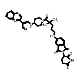 CC(C)(CCCNc1ccc2c(c1)C(=O)N(C1CCC(=O)NC1=O)C2=O)C(=O)N1CCC(N/C=C(\C=N)c2cnc3ccccc3n2)CC1